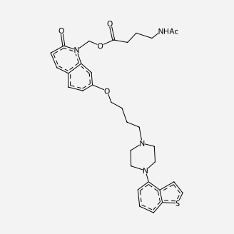 CC(=O)NCCCC(=O)OCn1c(=O)ccc2ccc(OCCCCN3CCN(c4cccc5sccc45)CC3)cc21